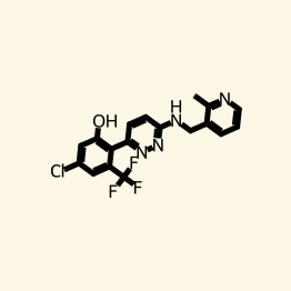 Cc1ncccc1CNc1ccc(-c2c(O)cc(Cl)cc2C(F)(F)F)nn1